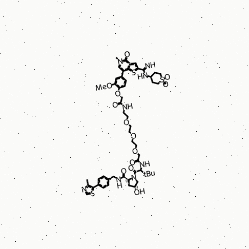 COc1cc(-c2cn(C)c(=O)c3cc(C(=N)NC4CCS(=O)(=O)CC4)sc23)ccc1OCC(=O)NCCOCCOCCOCC(=O)NC(C(=O)N1C[C@H](O)C[C@H]1C(=O)NCc1ccc(-c2scnc2C)cc1)C(C)(C)C